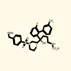 CNCc1ccc(S(=O)(=O)N2CCC[C@@H]([C@@](O)(CCCNC(=O)O)c3cccc(F)c3-c3cccc(C)c3)C2)cc1